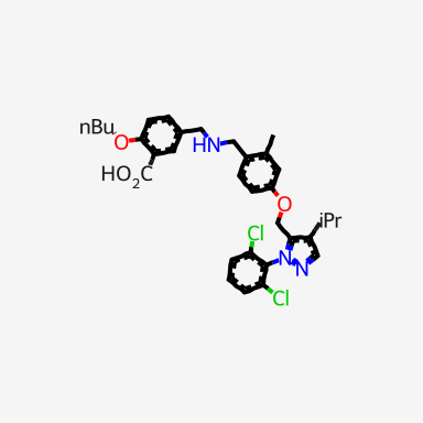 CCCCOc1ccc(CNCc2ccc(OCc3c(C(C)C)cnn3-c3c(Cl)cccc3Cl)cc2C)cc1C(=O)O